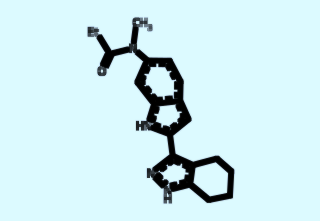 CCC(=O)N(C)c1ccc2cc(-c3n[nH]c4c3CCCC4)[nH]c2c1